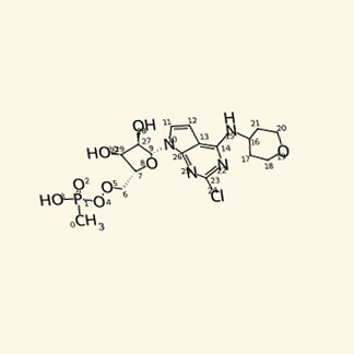 CP(=O)(O)OOC[C@H]1O[C@@H](n2ccc3c(NC4CCOCC4)nc(Cl)nc32)[C@H](O)[C@@H]1O